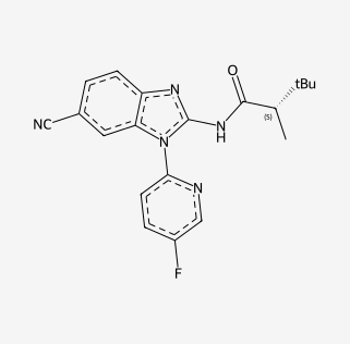 C[C@H](C(=O)Nc1nc2ccc(C#N)cc2n1-c1ccc(F)cn1)C(C)(C)C